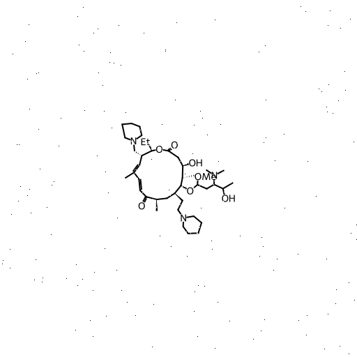 CC[C@H]1OC(=O)C[C@@H](O)[C@H](C)[C@@H](OC(CC(C(C)O)N(C)C)OC)[C@@H](CCN2CCCCC2)C[C@@H](C)C(=O)/C=C/C(C)=C/[C@@H]1CN1CCCCC1